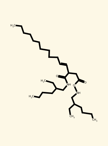 CCCCCCCCCCC=CC(CC(=O)ONCC(CC)CCCC)C(=O)NCC(CC)CCCC